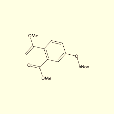 C=C(OC)c1ccc(OCCCCCCCCC)cc1C(=O)OC